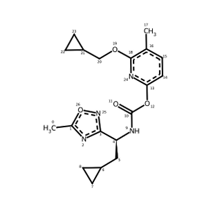 Cc1nc([C@H](CC2CC2)NC(=O)Oc2ccc(C)c(OCC3CC3)n2)no1